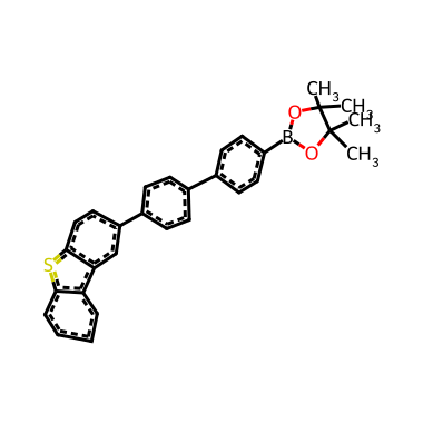 CC1(C)OB(c2ccc(-c3ccc(-c4ccc5sc6ccccc6c5c4)cc3)cc2)OC1(C)C